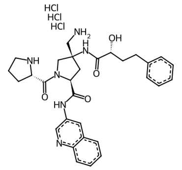 Cl.Cl.Cl.NC[C@@]1(NC(=O)[C@H](O)CCc2ccccc2)C[C@@H](C(=O)Nc2cnc3ccccc3c2)N(C(=O)[C@@H]2CCCN2)C1